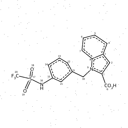 O=C(O)c1cc2ccccc2n1Cc1cccc(NS(=O)(=O)C(F)(F)F)c1